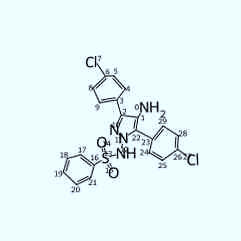 Nc1c(-c2ccc(Cl)cc2)nn(NS(=O)(=O)c2ccccc2)c1-c1ccc(Cl)cc1